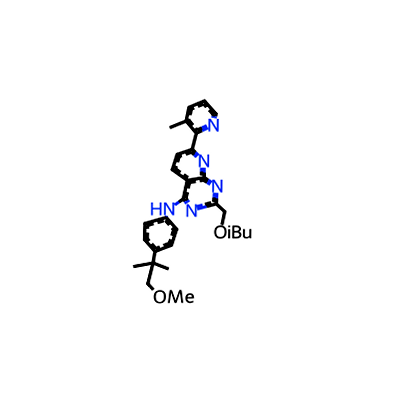 COCC(C)(C)c1ccc(Nc2nc(COCC(C)C)nc3nc(-c4ncccc4C)ccc23)cc1